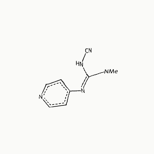 CN/C(=N/c1ccncc1)NC#N